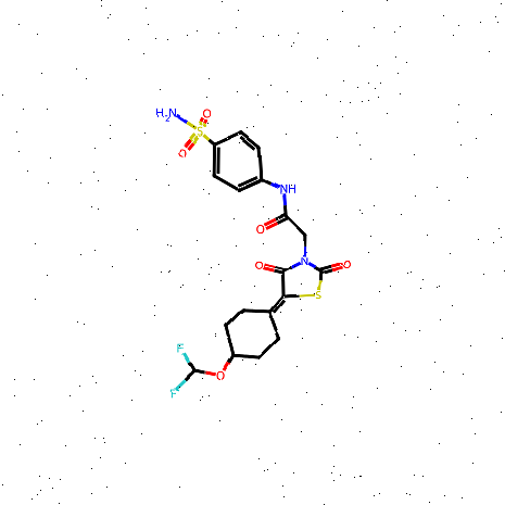 NS(=O)(=O)c1ccc(NC(=O)CN2C(=O)SC(=C3CCC(OC(F)F)CC3)C2=O)cc1